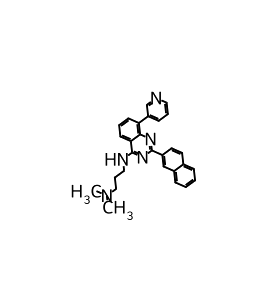 CN(C)CCCNc1nc(-c2ccc3ccccc3c2)nc2c(-c3cccnc3)cccc12